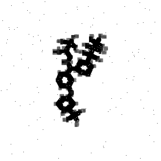 O[C@H](CNC(c1cccc(Oc2ccnc(C(F)(F)F)c2)c1)c1cccc(C(F)(F)C(F)(F)C(F)(F)F)c1)C(F)(F)F